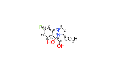 O=C(O)[C@@H]1CC=NN1[C@](O)(CO)c1ccc(F)cc1